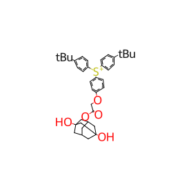 CC(C)(C)c1ccc([S+](c2ccc(OCC(=O)OC34CC5CC(O)(CC(O)(C5)C3)C4)cc2)c2ccc(C(C)(C)C)cc2)cc1